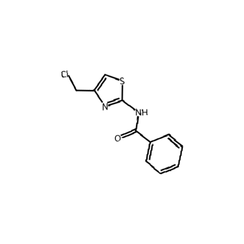 O=C(Nc1nc(CCl)cs1)c1ccccc1